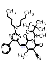 CCCCN(CCCC)c1nc(-c2ccccc2)c(/C=C2\C(=O)N(N(C)C(=O)C(C)(C)C)C(=O)C(C#N)=C2C)s1